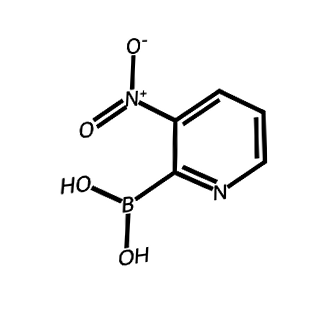 O=[N+]([O-])c1cccnc1B(O)O